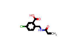 C=CC(=O)NCc1ccc(Cl)cc1C(=O)O